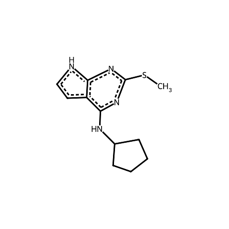 CSc1nc(NC2CCCC2)c2cc[nH]c2n1